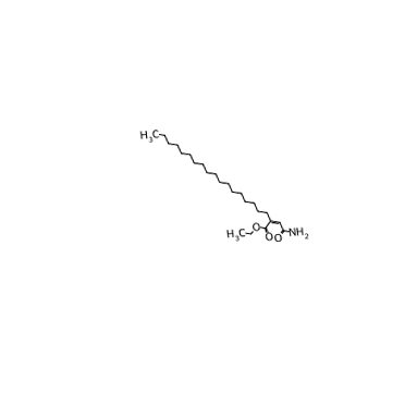 CCCCCCCCCCCCCCCCCC/C(=C/C(N)=O)C(=O)OCC